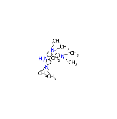 CCCCN(CCCC)C1=C(c2ccc(N(CCCC)CCCC)cc2)C(C)(c2ccc(N(CCCC)CCCC)cc2)C(N)C=C1